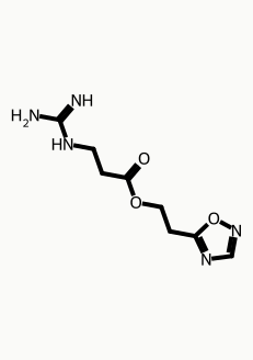 N=C(N)NCCC(=O)OCCc1ncno1